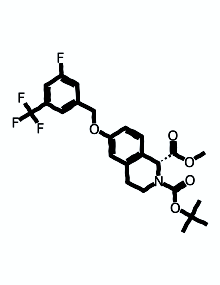 COC(=O)[C@H]1c2ccc(OCc3cc(F)cc(C(F)(F)F)c3)cc2CCN1C(=O)OC(C)(C)C